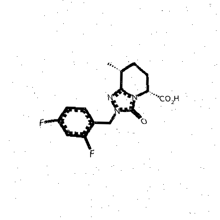 C[C@@H]1CC[C@H](C(=O)O)n2c1nn(Cc1ccc(F)cc1F)c2=O